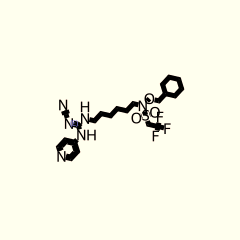 N#C/N=C(\NCCCCCCN(OCC1CCCCC1)S(=O)(=O)CC(F)(F)F)Nc1ccncc1